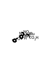 CC(C)(C)C(CNc1c([N+](=O)[O-])cnc2cc(OCc3ccccc3)ccc12)NC(=O)O